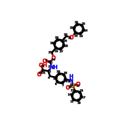 O=C(NC(Cc1ccc(NS(=O)(=O)c2ccccc2)cc1)C(=O)O)OCc1ccc(COc2ccccc2)cc1